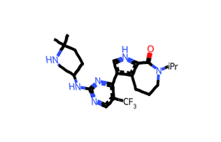 CC(C)N1CCCc2c(-c3nc(NC4CCC(C)(C)NC4)ncc3C(F)(F)F)c[nH]c2C1=O